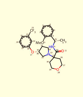 COc1ccccc1[C@H](C)NC(=O)C1(N2CC[C@@H](Oc3cccc(C(F)(F)F)c3)C2)CCOCC1